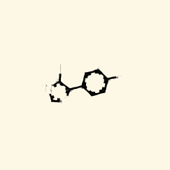 Fc1ccc(-c2ocnc2I)cc1